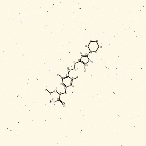 CCOC(Cc1cc(C)c(OCCc2nc(C3CCCCC3)oc2C)c(C)c1)C(=O)O